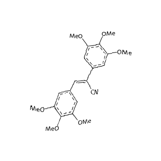 COc1cc(/C=C(\C#N)c2cc(OC)c(OC)c(OC)c2)cc(OC)c1OC